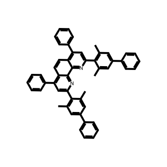 Cc1cc(-c2ccccc2)cc(C)c1-c1cc(-c2ccccc2)c2ccc3c(-c4ccccc4)cc(-c4c(C)cc(-c5ccccc5)cc4C)nc3c2n1